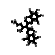 CCCC(C)C(C(=O)Oc1c(F)c(F)c(F)c(F)c1F)C(=O)Oc1c(F)c(F)c(F)c(F)c1F